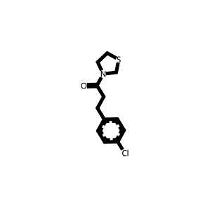 O=C(CCc1ccc(Cl)cc1)N1CCSC1